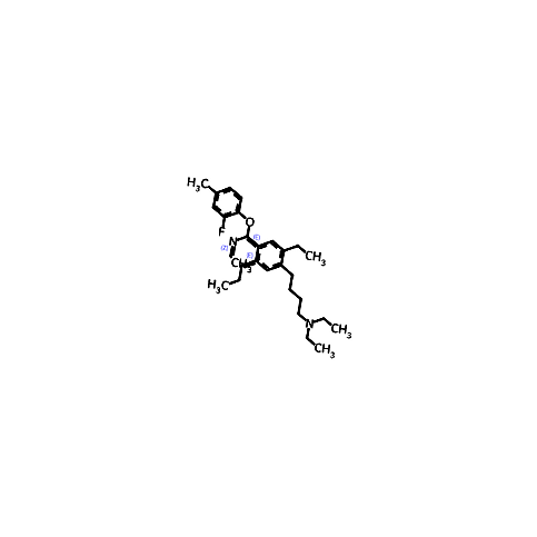 C\C=N/C(Oc1ccc(C)cc1F)=c1/cc(CC)c(CCCCN(CC)CC)c/c1=C\CC